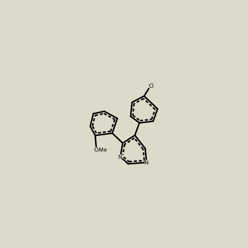 COc1ccccc1-c1n[c]ncc1-c1ccc(Cl)cc1